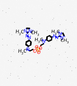 CN(CCOS(=O)(=O)OCCN(C)c1ccc(/N=N/c2n(C)cc[n+]2C)cc1)c1ccc(/N=N/c2n(C)cc[n+]2C)cc1